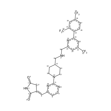 O=C1NC(=O)C(=Cc2ccnc(N3CCC(CNCc4cc(C(F)(F)F)cc(-c5ccc(C(F)(F)F)cc5C(F)(F)F)n4)CC3)n2)S1